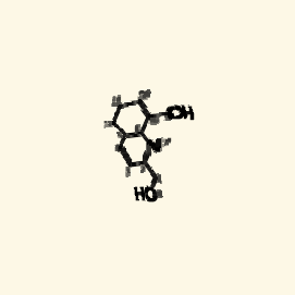 OCc1ccc2c(n1)C(O)CCC2